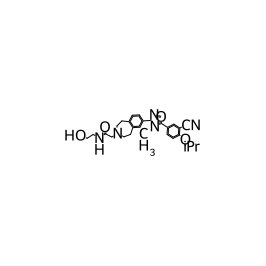 Cc1c(-c2noc(-c3ccc(OC(C)C)c(C#N)c3)n2)ccc2c1CCN(CC(=O)NCCO)CC2